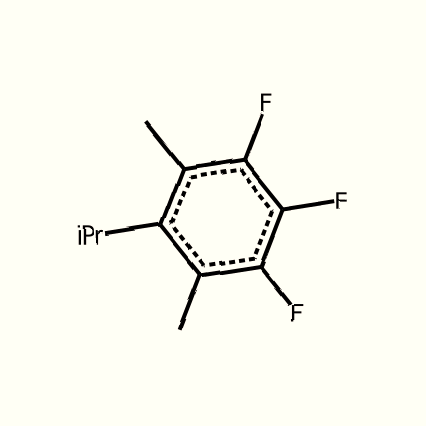 Cc1c(F)c(F)c(F)c(C)c1C(C)C